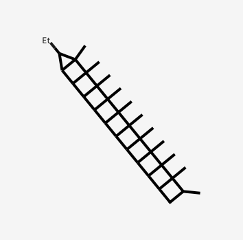 CCC1C2C3C4C5C6C7C8C9C%10C%11CC(C)C%11(C)C%10(C)C9(C)C8(C)C7(C)C6(C)C5(C)C4(C)C3(C)C12C